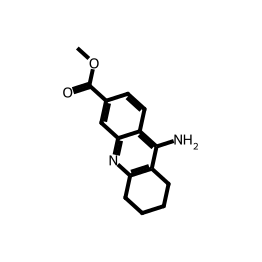 COC(=O)c1ccc2c(N)c3c(nc2c1)CCCC3